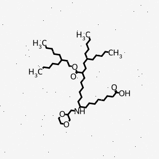 CCCCCC(CCCCC)CCOC(=O)C(CCCCCCC(CCCCCCCC(=O)O)NCC1COCCO1)CCC(CCCCC)CCCCC